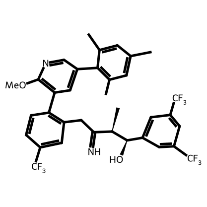 COc1ncc(-c2c(C)cc(C)cc2C)cc1-c1ccc(C(F)(F)F)cc1CC(=N)[C@@H](C)[C@H](O)c1cc(C(F)(F)F)cc(C(F)(F)F)c1